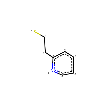 [S]CCc1ccccn1